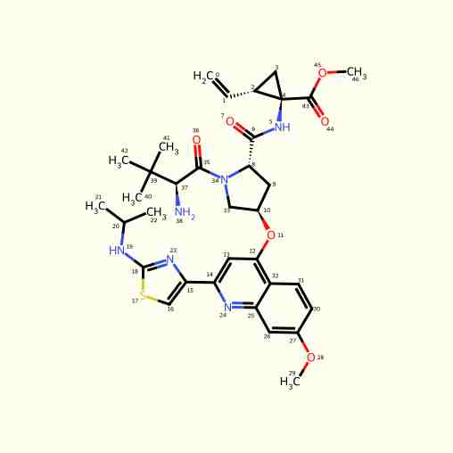 C=C[C@@H]1C[C@]1(NC(=O)[C@@H]1C[C@@H](Oc2cc(-c3csc(NC(C)C)n3)nc3cc(OC)ccc23)CN1C(=O)[C@@H](N)C(C)(C)C)C(=O)OC